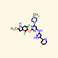 Cc1cc2c(F)c(Oc3nc(Nc4cc(-c5ccccn5)[nH]n4)cc(N4CCN(C)CC4)n3)c(F)cc2[nH]1